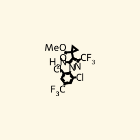 COC(=O)C1(c2c(C(F)(F)F)nn(-c3c(Cl)cc(C(F)(F)F)cc3Cl)c2N)CC1